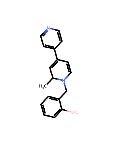 Bc1ccccc1CN1C=CC(c2ccncc2)=CC1C